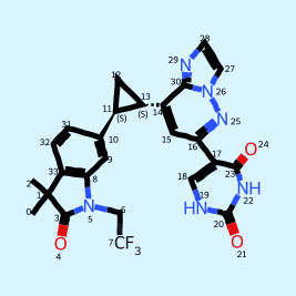 CC1(C)C(=O)N(CC(F)(F)F)c2cc([C@H]3C[C@@H]3c3cc(-c4c[nH]c(=O)[nH]c4=O)nn4ccnc34)ccc21